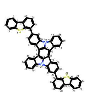 c1ccc2c(c1)sc1c(-c3ccc4c5c6c7ccccc7n7c8cc(-c9cccc%10c9sc9ccccc9%10)ccc8c(c8c9ccccc9n(c4c3)c85)c67)cccc12